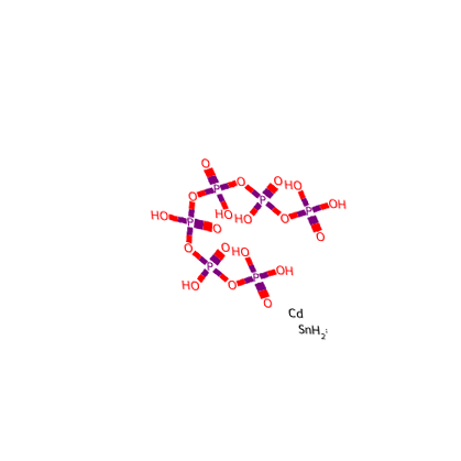 O=P(O)(O)OP(=O)(O)OP(=O)(O)OP(=O)(O)OP(=O)(O)OP(=O)(O)O.[Cd].[SnH2]